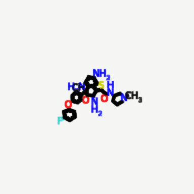 Cc1cc(Oc2cccc(F)c2)ccc1C1(N)C(=O)C(N)c2c(C(=O)NC3CCCN(C)C3)sc3c(N)ccc1c23